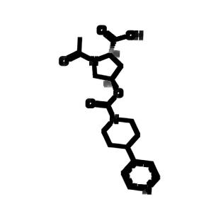 CC(=O)N1C[C@H](OC(=O)N2CCC(c3ccncc3)CC2)C[C@H]1C(=O)O